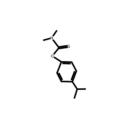 CC(C)c1ccc(OC(=S)N(C)C)cc1